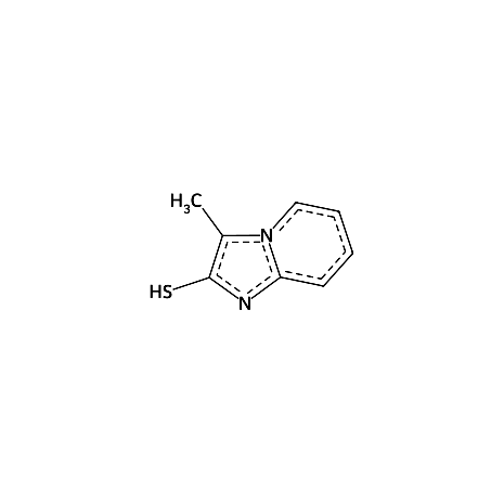 Cc1c(S)nc2ccccn12